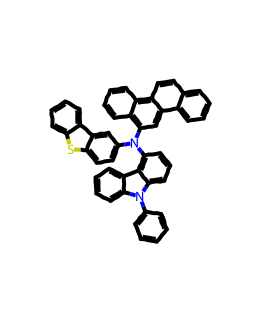 c1ccc(-n2c3ccccc3c3c(N(c4ccc5sc6ccccc6c5c4)c4cc5c6ccccc6ccc5c5ccccc45)cccc32)cc1